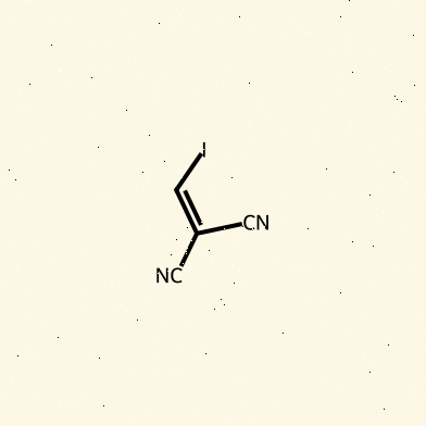 N#CC(C#N)=CI